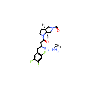 CN.NC(CC(=O)N1CC[C@H]2CN(C=O)C[C@H]21)Cc1cc(F)c(F)cc1F